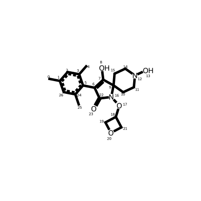 Cc1cc(C)c(C2=C(O)C3(CCN(O)CC3)N(OC3COC3)C2=O)c(C)c1